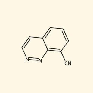 N#Cc1cccc2ccnnc12